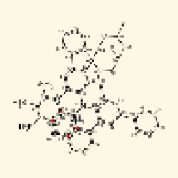 Bc1c(B)c(B)c(-c2cc3c(cc2N(c2ccccc2)c2c(F)cc(-c4ccccc4)cc2-c2ccccc2)C2(c4ccccc4-3)C(C)CC3CC(C)CC2C3)c(B)c1B